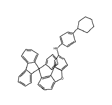 c1ccc(C2(c3cccc4oc5ccc(Nc6ccc(C7CCCCC7)cc6)cc5c34)c3ccccc3-c3ccccc32)cc1